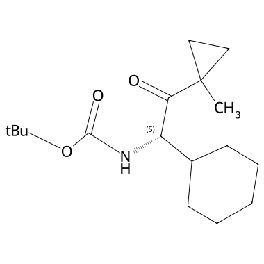 CC(C)(C)OC(=O)N[C@H](C(=O)C1(C)CC1)C1CCCCC1